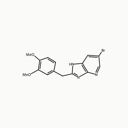 COc1ccc(Cc2nc3ncc(Br)cc3[nH]2)cc1OC